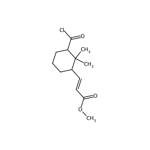 COC(=O)C=CC1CCCC(C(=O)Cl)C1(C)C